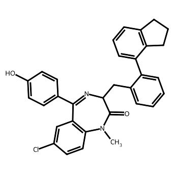 CN1C(=O)C(Cc2ccccc2-c2cccc3c2CCC3)N=C(c2ccc(O)cc2)c2cc(Cl)ccc21